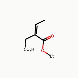 CC=C(CC(=O)O)C(=O)OCC